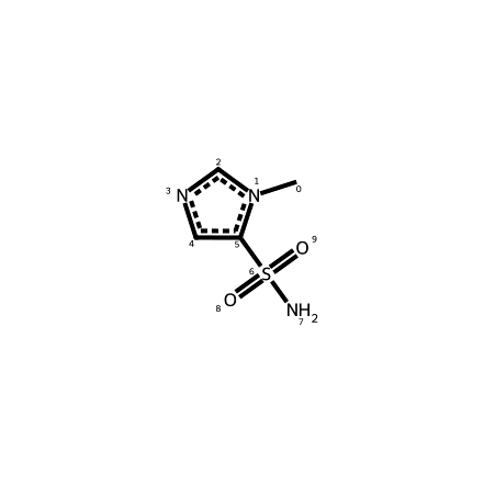 Cn1cncc1S(N)(=O)=O